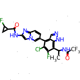 CC(NC(=O)C(F)(F)F)c1c(F)c(Cl)c(-c2ccc3nc(NC(=O)C4CC4F)cn3c2)c2cn[nH]c12